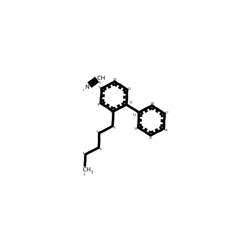 C#N.CCCCCc1ccccc1-c1ccccc1